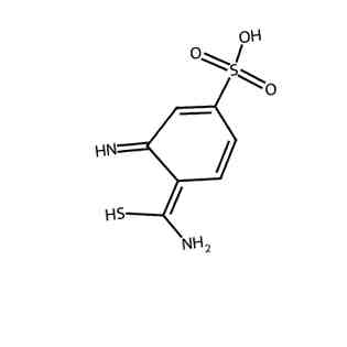 N=C1C=C(S(=O)(=O)O)C=C/C1=C(\N)S